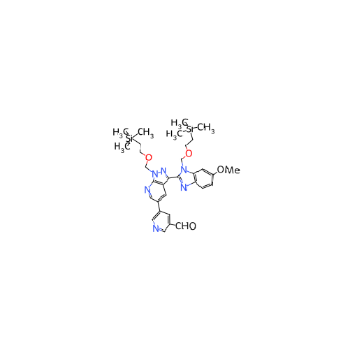 COc1ccc2nc(-c3nn(COCC[Si](C)(C)C)c4ncc(-c5cncc(C=O)c5)cc34)n(COCC[Si](C)(C)C)c2c1